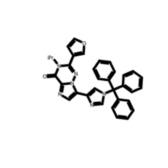 CC(C)n1c(-c2ccoc2)nn2c(-c3cn(C(c4ccccc4)(c4ccccc4)c4ccccc4)cn3)cnc2c1=O